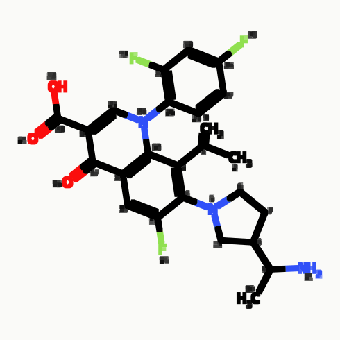 C=C(C)c1c(N2CCC(C(C)N)C2)c(F)cc2c(=O)c(C(=O)O)cn(-c3ccc(F)cc3F)c12